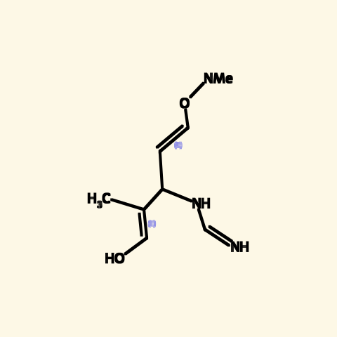 CNO/C=C/C(NC=N)/C(C)=C/O